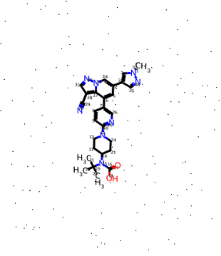 Cn1cc(-c2cc(-c3ccc(N4CCC(N(C(=O)O)C(C)(C)C)CC4)nc3)c3c(C#N)cnn3c2)cn1